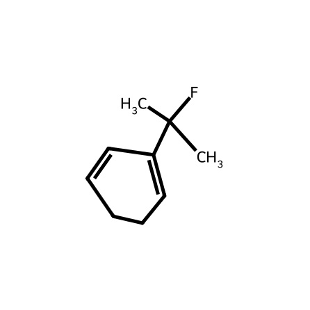 CC(C)(F)C1=CCCC=C1